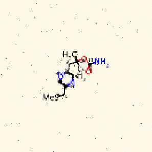 CSCc1cnc(CC(C)(C)OC(N)=O)cn1